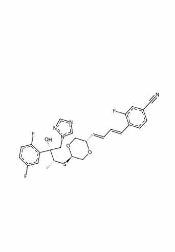 C[C@@H](S[C@@H]1CO[C@@H](C=CC=Cc2ccc(C#N)cc2F)CO1)[C@](O)(Cn1cncn1)c1cc(F)ccc1F